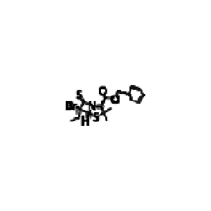 CC[C@]1(Br)C(=S)N2[C@@H](C(=O)OCc3ccccc3)C(C)(C)S[C@@H]21